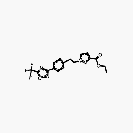 CCOC(=O)c1ccn(CCc2ccc(-c3noc(C(F)(F)F)n3)cc2)n1